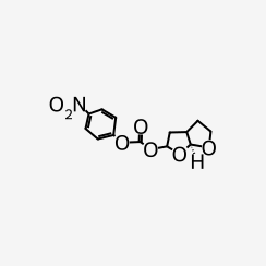 O=C(Oc1ccc([N+](=O)[O-])cc1)OC1CC2CCO[C@H]2O1